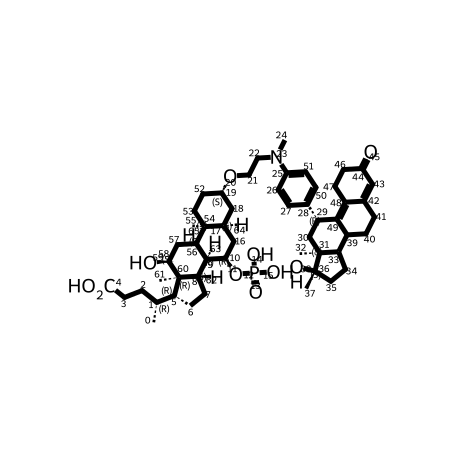 C[C@H](CCC(=O)O)[C@H]1CC[C@H]2[C@@H]3[C@H](OP(=O)(O)O)C[C@@H]4C[C@@H](OCCN(C)c5ccc([C@H]6C[C@@]7(C)C(CC[C@]7(C)O)C7CCC8=CC(=O)CCC8=C76)cc5)CC[C@]4(C)[C@H]3C[C@H](O)[C@]12C